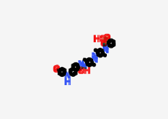 COc1ccc(Nc2ccc3c(O)c(N=NC4=CC(C)C(N=Nc5cc(C)c(N=Nc6ccccc6S(=O)(=O)O)cc5C)C=C4C)ccc3c2)cc1